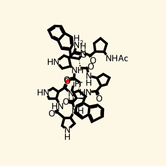 CC(=O)NC1CCCC1C(=O)N[C@H](CC(=O)NC1CCCC1C(=O)NC[C@H](CC(C)C)C(=O)NC1CNCC1C(=O)NC1CNCC1C(=O)N[C@H](CC(=O)NC1CNCC1C(N)=O)Cc1cccc2ccccc12)Cc1ccc2ccccc2c1